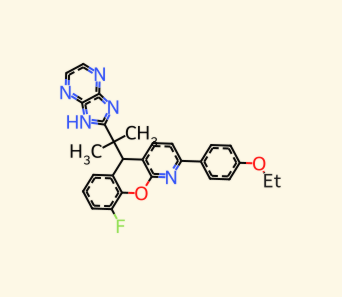 CCOc1ccc(-c2ccc3c(n2)Oc2c(F)cccc2C3C(C)(C)c2nc3nccnc3[nH]2)cc1